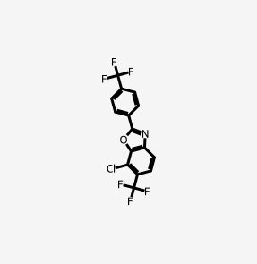 FC(F)(F)c1ccc(-c2nc3ccc(C(F)(F)F)c(Cl)c3o2)cc1